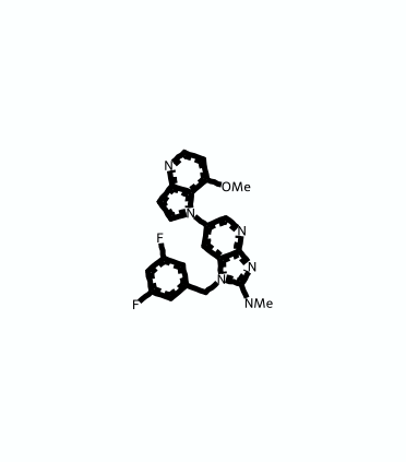 CNc1nc2ncc(-n3ccc4nccc(OC)c43)cc2n1Cc1cc(F)cc(F)c1